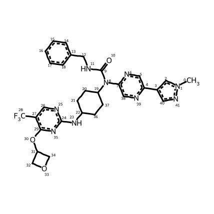 Cn1cc(-c2cnc(N(C(=O)NCc3ccccc3)C3CCC(Nc4ncc(C(F)(F)F)c(OC5COC5)n4)CC3)cn2)cn1